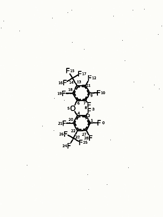 Fc1c(F)c(Oc2c(F)c(F)c(F)c(C(F)(F)F)c2F)c(F)c(C(F)(F)F)c1F